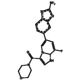 Nc1nc2ccc(C3=CN4C(C(=O)N5CCOCC5)=CNC4C(F)=C3)cc2o1